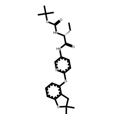 CC[C@@H](NC(=O)OC(C)(C)C)C(=O)Nc1ccc(Oc2cccc3c2CC(C)(C)O3)nc1